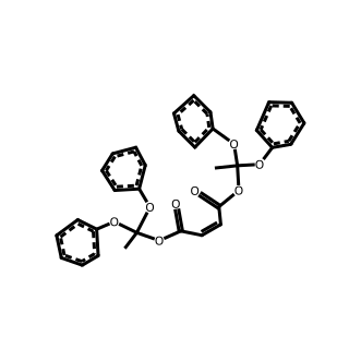 CC(OC(=O)/C=C\C(=O)OC(C)(Oc1ccccc1)Oc1ccccc1)(Oc1ccccc1)Oc1ccccc1